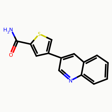 NC(=O)c1cc(-c2cnc3ccccc3c2)cs1